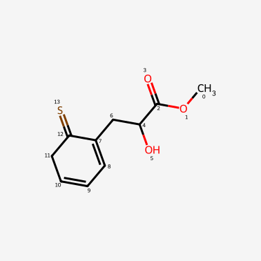 COC(=O)C(O)CC1=CC=CCC1=S